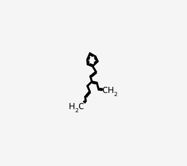 C=CC=CCC(C=Cc1ccccc1)=CC=C